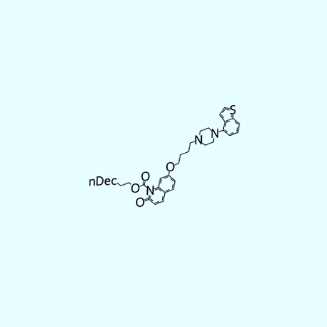 CCCCCCCCCCCCOC(=O)n1c(=O)ccc2ccc(OCCCCN3CCN(c4cccc5sccc45)CC3)cc21